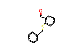 O=[C]c1ccccc1SCc1ccccc1